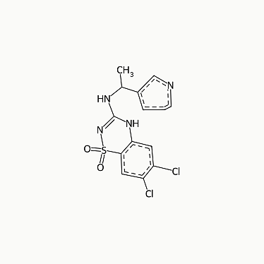 CC(NC1=NS(=O)(=O)c2cc(Cl)c(Cl)cc2N1)c1cccnc1